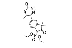 CCOP(=O)(OCC)N1C(=O)C(C)(C)c2cc(C3=NNC(=O)SC3C)ccc21